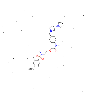 COc1cc(C)c(S(=O)(=O)N(C)CCOCC(=O)N(C)C2CCC(CN3CC[C@H](N4CCCC4)C3)CC2)c(C)c1